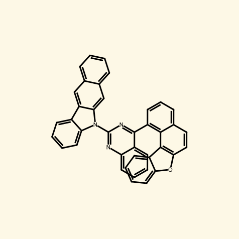 c1ccc2cc3c(cc2c1)c1ccccc1n3-c1nc(-c2cccc3ccc4oc5ccccc5c4c23)c2ccccc2n1